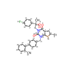 CCc1cc2c(=O)n(CC(C)(O)c3ccc(F)cc3)c(=O)n(Cc3ccc(-c4ccccc4C#N)cc3)c2s1